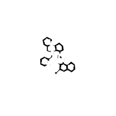 O=C(O)c1cc2ccccc2c(/N=N/c2ccccc2N(Cc2ccccn2)Cc2ccccn2)c1O